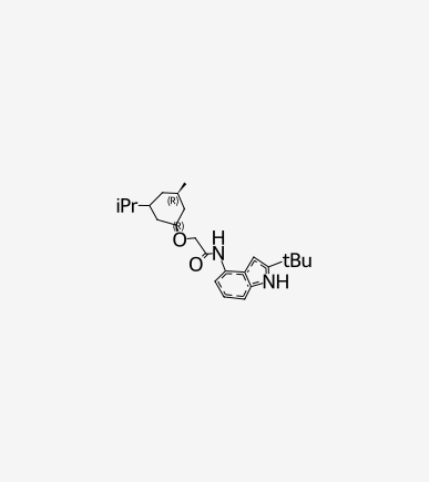 CC(C)C1C[C@@H](C)C[C@@H](OCC(=O)Nc2cccc3[nH]c(C(C)(C)C)cc23)C1